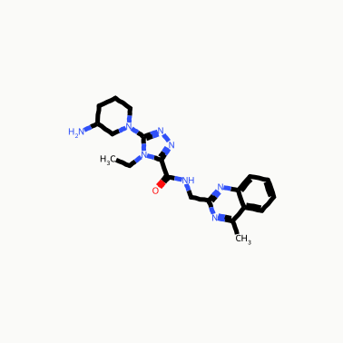 CCn1c(C(=O)NCc2nc(C)c3ccccc3n2)nnc1N1CCCC(N)C1